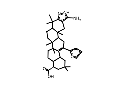 CC1(C)CC2C3=C(c4ccco4)CC4C5(C)Cc6c(n[nH]c6N)C(C)(C)C5CCC4(C)C3(C)CCC2[C@H](C(=O)O)C1